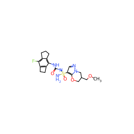 COCC1COc2c(S(N)(=O)=NC(=O)Nc3c4c(c(F)c5c3CC5)CCC4)cnn2C1